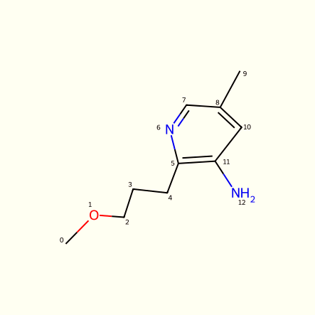 COCCCc1ncc(C)cc1N